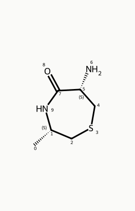 C[C@H]1CSC[C@@H](N)C(=O)N1